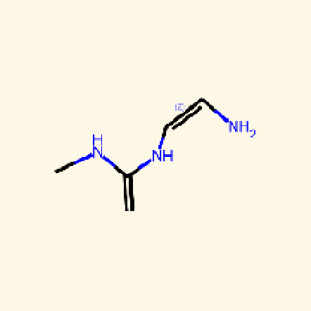 C=C(NC)N/C=C\N